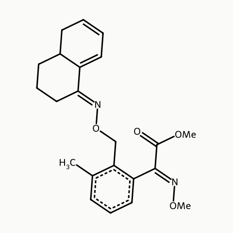 CO/N=C(/C(=O)OC)c1cccc(C)c1CO/N=C1\CCCC2CC=CC=C12